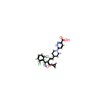 O=C(O)c1ccc(N2CCC(/C=C/c3c(-c4c(Cl)cccc4Cl)noc3C3CC3)CC2)nn1